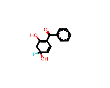 O=C(C1=C(O)CC(O)(F)C=C1)c1ccccc1